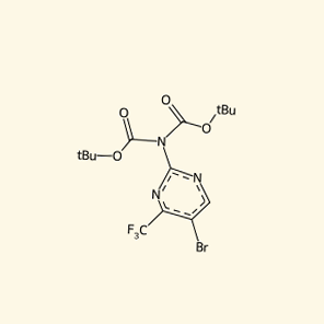 CC(C)(C)OC(=O)N(C(=O)OC(C)(C)C)c1ncc(Br)c(C(F)(F)F)n1